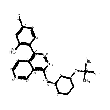 CC(C)(C)[Si](C)(C)O[C@H]1CCC[C@@H](Nc2nnc(-c3ccc(Cl)cc3O)c3ccncc23)C1